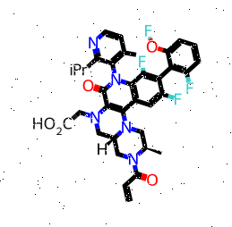 C=CC(=O)N1C[C@@H]2CN(CC(=O)O)c3c(c4cc(F)c(-c5c(F)cccc5OF)c(F)c4n(-c4c(C)ccnc4C(C)C)c3=O)N2C[C@H]1C